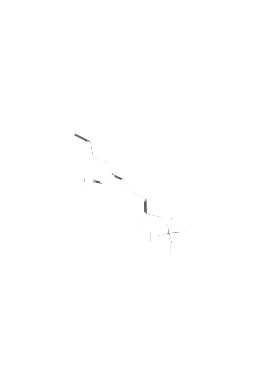 C=CCCC(C=O)=CC/C=C(\C)OC(F)(F)F